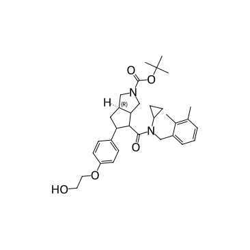 Cc1cccc(CN(C(=O)C2C(c3ccc(OCCO)cc3)C[C@H]3CN(C(=O)OC(C)(C)C)CC23)C2CC2)c1C